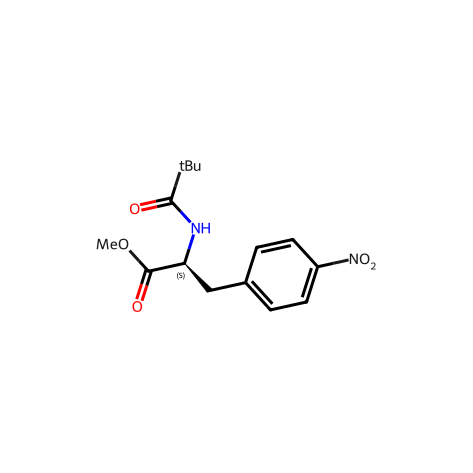 COC(=O)[C@H](Cc1ccc([N+](=O)[O-])cc1)NC(=O)C(C)(C)C